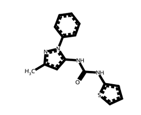 Cc1cc(NC(=O)Nc2cccs2)n(-c2ccccc2)n1